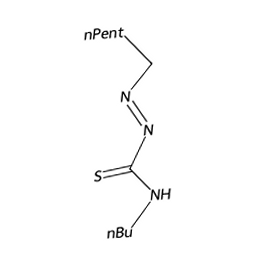 CCCCCCN=NC(=S)NCCCC